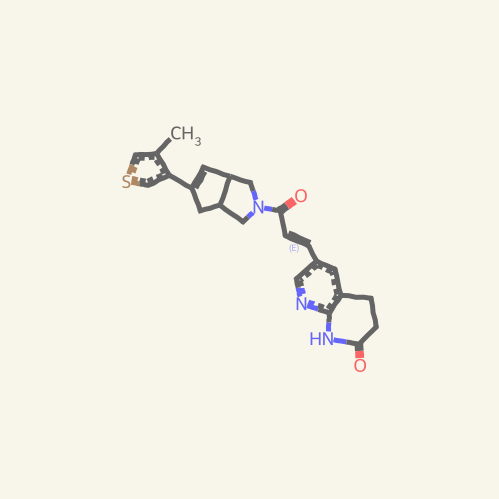 Cc1cscc1C1=CC2CN(C(=O)/C=C/c3cnc4c(c3)CCC(=O)N4)CC2C1